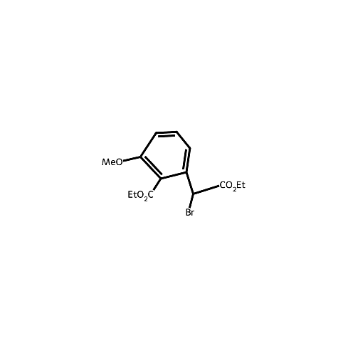 CCOC(=O)c1c(OC)cccc1C(Br)C(=O)OCC